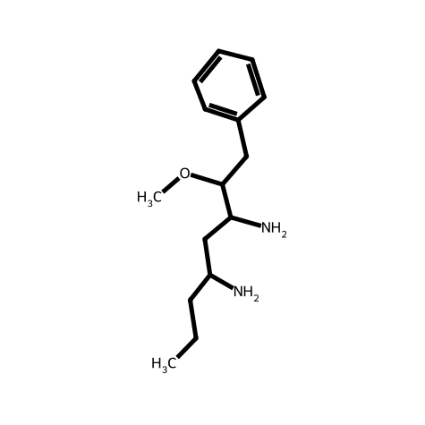 CCCC(N)CC(N)C(Cc1ccccc1)OC